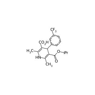 CC1=C(C(=O)O)C(c2cccc(C(F)(F)F)c2)C(C(=O)OC(C)C)=C(C)N1